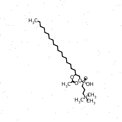 CCCCCCCCCCCCCCCCCCC(COP(=O)(O)CCC[N+](C)(C)C)OC(C)=O